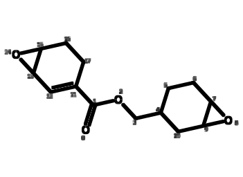 O=C(OCC1CCC2OC2C1)C1=CC2OC2CC1